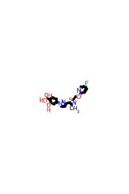 Cc1nc(COc2ccc(F)cn2)sc1-c1ccn(-c2ccc(C(O)O)c(O)c2)n1